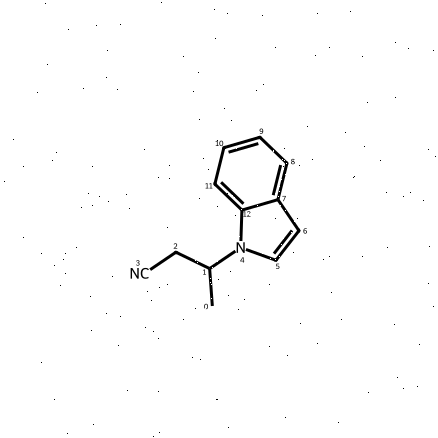 CC(CC#N)n1ccc2ccccc21